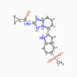 CS(=O)(=O)c1ccc2[nH]c(-c3cccc4nc(NC(=O)C5CC5)nn34)cc2c1